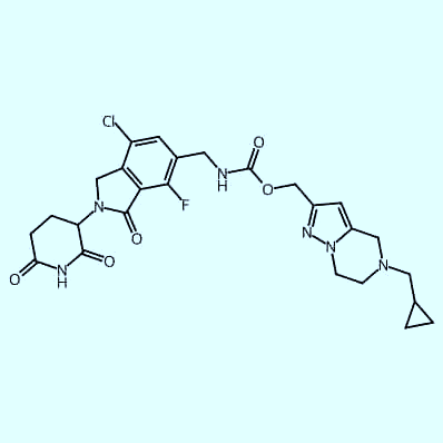 O=C1CCC(N2Cc3c(Cl)cc(CNC(=O)OCc4cc5n(n4)CCN(CC4CC4)C5)c(F)c3C2=O)C(=O)N1